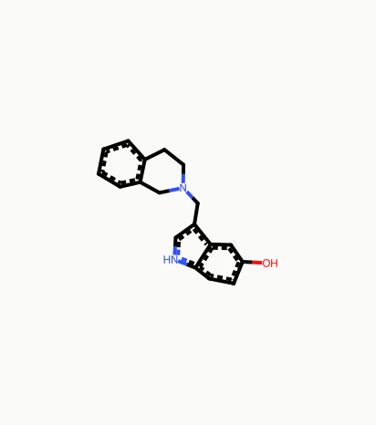 Oc1ccc2[nH]cc(CN3CCc4ccccc4C3)c2c1